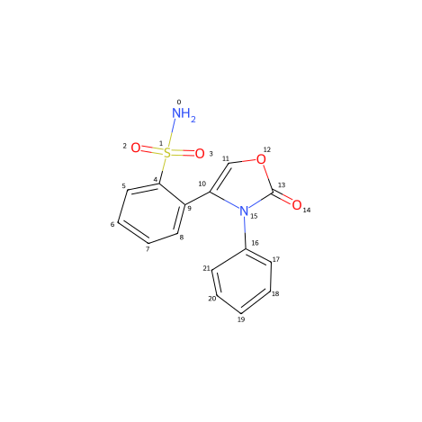 NS(=O)(=O)c1ccccc1-c1coc(=O)n1-c1ccccc1